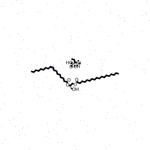 CCC([N+](C)(C)C)P(=O)(O)O.CCCCCCCC/C=C\CCCCCCCC(=O)O[C@@H](CO)COC(=O)CCCCCCCCCCCCCCCCC